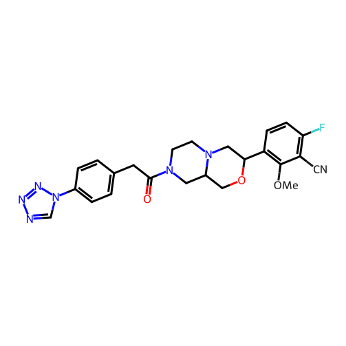 COc1c(C2CN3CCN(C(=O)Cc4ccc(-n5cnnn5)cc4)CC3CO2)ccc(F)c1C#N